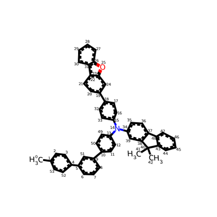 Cc1ccc(-c2cccc(-c3ccc(N(c4ccc(-c5ccc6c(c5)oc5ccccc56)cc4)c4ccc5c(c4)C(C)(C)c4ccccc4-5)cc3)c2)cc1